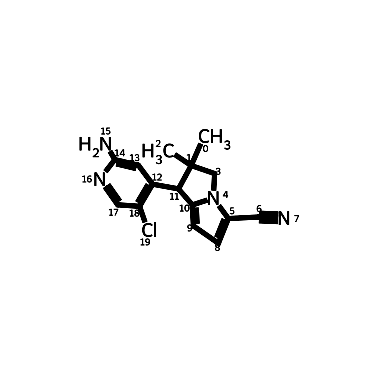 CC1(C)Cn2c(C#N)ccc2C1c1cc(N)ncc1Cl